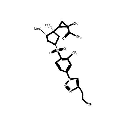 CO[C@H]1C[C@@H](S(=O)(=O)c2ccc(-n3cc(CCO)nn3)cc2C(F)(F)F)C[C@]1(C(=O)O)C1CC1(C#N)C(N)=O